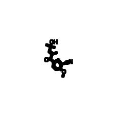 COc1ccc(C(=O)/C(C)=C/C(C)(C)O)cc1C#N